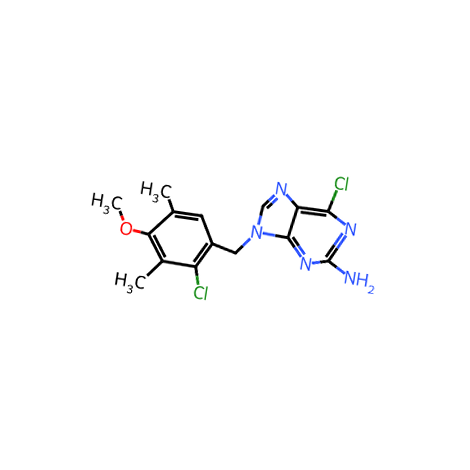 COc1c(C)cc(Cn2cnc3c(Cl)nc(N)nc32)c(Cl)c1C